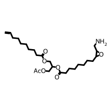 C=CCCCCCCCC(=O)OCC(COC(C)=O)OC(=O)CCCCCCCC1OC1CN